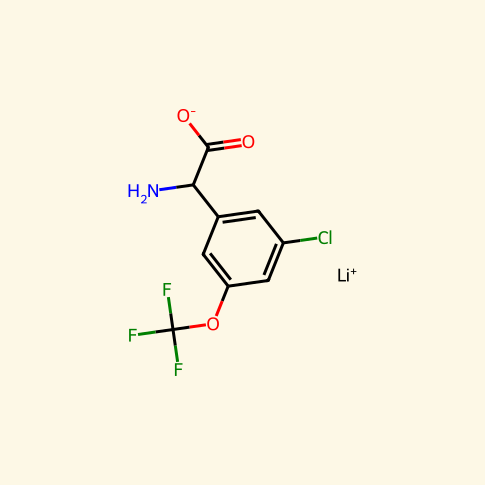 NC(C(=O)[O-])c1cc(Cl)cc(OC(F)(F)F)c1.[Li+]